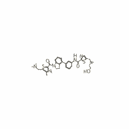 Cc1nc(C(=O)N2CCc3c(-c4cccc(NC(=O)c5ncc(CN(C)CCO)s5)c4)cccc32)sc1CN(C)C